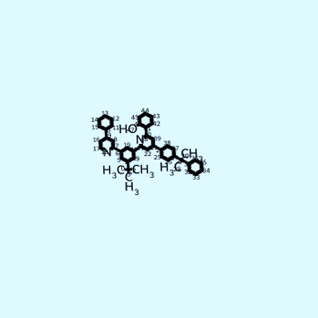 CC(C)(C)c1cc(-c2cc(-c3ccccc3)ccn2)cc(-c2cc(-c3ccc(C(C)(C)c4ccccc4)cc3)cc(-c3ccccc3O)n2)c1